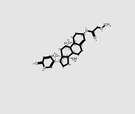 COCC(=O)O[C@@H]1C=C2CCC3C(CC[C@]4(C)[C@@H](c5ccc(=O)oc5)CC[C@]34O)[C@@]2(C)CC1